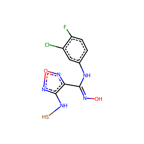 O/N=C(\Nc1ccc(F)c(Cl)c1)c1nonc1NS